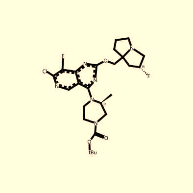 C[C@H]1CN(C(=O)OC(C)(C)C)CCN1c1nc(OCC23CCCN2C[C@H](F)C3)nc2c(F)c(Cl)ncc12